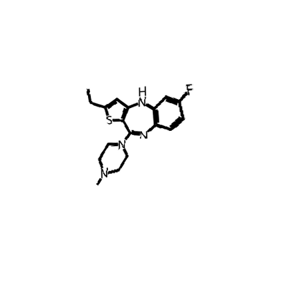 CCc1cc2c(s1)C(N1CCN(C)CC1)=Nc1ccc(F)cc1N2